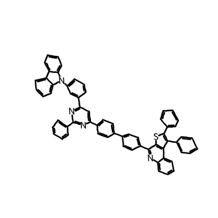 c1ccc(-c2nc(-c3ccc(-c4ccc(-c5nc6ccccc6c6c(-c7ccccc7)c(-c7ccccc7)sc56)cc4)cc3)cc(-c3cccc(-n4c5ccccc5c5ccccc54)c3)n2)cc1